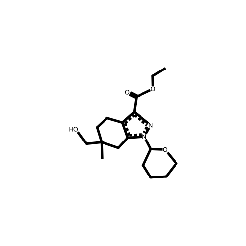 CCOC(=O)c1nn(C2CCCCO2)c2c1CCC(C)(CO)C2